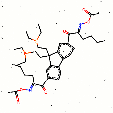 CCCC/C(=N\OC(C)=O)C(=O)c1ccc2c(c1)C(CCP(CC)CC)(CCP(CC)CC)c1cc(C(=O)/C(CCCC)=N/OC(C)=O)ccc1-2